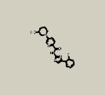 O=C(Nc1nc(-c2ccccc2Cl)cs1)c1ccc(N2CCCC(O)C2)cn1